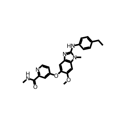 CCc1ccc(Nc2nc3cc(Oc4ccnc(C(=O)NC)c4)c(OC)cc3n2C)cc1